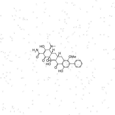 COc1c(-c2ccccc2)cc(O)c2c1C[C@H]1C[C@H]3[C@H](N(C)C)C(O)=C(C(N)=O)C(=O)[C@@]3(O)C(O)=C1C2=O